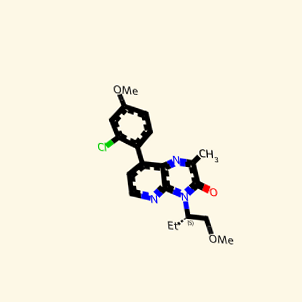 CC[C@@H](COC)n1c(=O)c(C)nc2c(-c3ccc(OC)cc3Cl)ccnc21